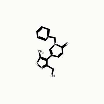 Cc1onc(CO)c1-c1ccc(=O)n(Cc2ccccc2)c1